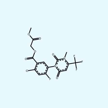 COC(=O)COC(=O)c1cc(-n2c(=O)cc(C(F)(F)F)n(C)c2=O)c(F)cc1Cl